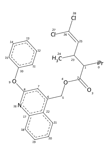 CC(C)C(C(=O)OCc1cc(Oc2ccccc2)nc2ccccc12)C(C)C=C(Cl)Cl